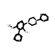 COc1ccc(N2CCN(c3ncccn3)CC2)c(C)c1-c1ccccc1